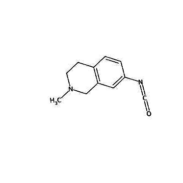 CN1CCc2ccc(N=C=O)cc2C1